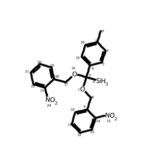 Cc1ccc(C([SiH3])(OCc2ccccc2[N+](=O)[O-])OCc2ccccc2[N+](=O)[O-])cc1